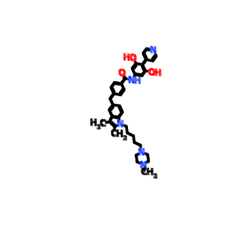 Cc1c(C)n(CCCCCN2CCN(C)CC2)c2ccc(Cc3ccc(C(=O)Nc4cc(O)c(-c5ccncc5)c(O)c4)cc3)cc12